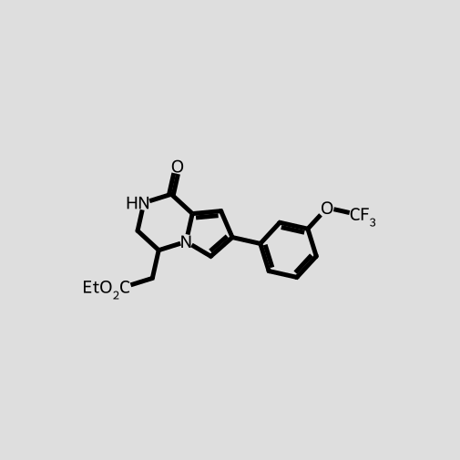 CCOC(=O)CC1CNC(=O)c2cc(-c3cccc(OC(F)(F)F)c3)cn21